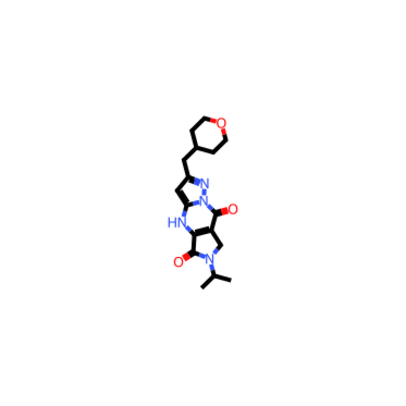 CC(C)N1Cc2c([nH]c3cc(CC4CCOCC4)nn3c2=O)C1=O